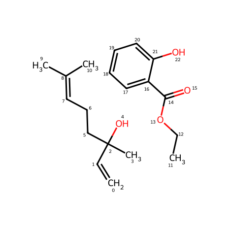 C=CC(C)(O)CCC=C(C)C.CCOC(=O)c1ccccc1O